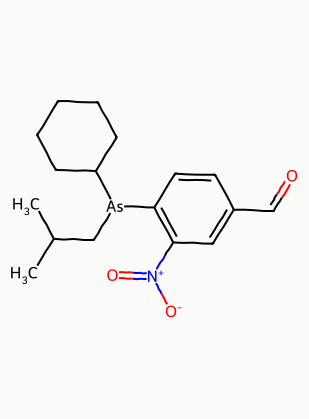 CC(C)C[As](c1ccc(C=O)cc1[N+](=O)[O-])C1CCCCC1